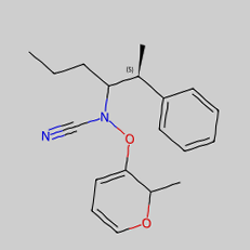 CCCC([C@@H](C)c1ccccc1)N(C#N)OC1=CC=COC1C